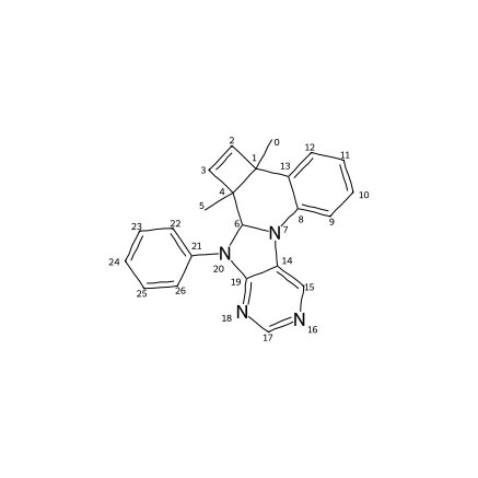 CC12C=CC1(C)C1N(c3ccccc32)c2cncnc2N1c1ccccc1